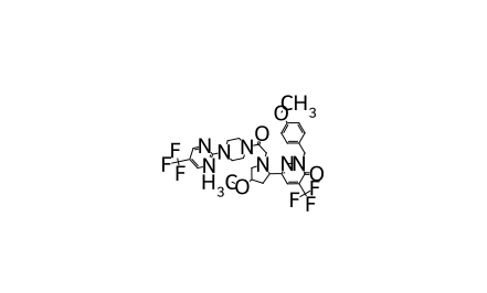 COc1ccc(Cn2nc(C3CC(OC)CN3CC(=O)N3CCN(c4ncc(C(F)(F)F)cn4)CC3)cc(C(F)(F)F)c2=O)cc1